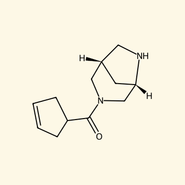 O=C(C1CC=CC1)N1C[C@@H]2CN[C@@H](C2)C1